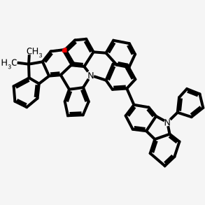 CC1(C)c2ccccc2-c2c(-c3ccccc3N(c3cccc(-c4ccc5c6ccccc6n(-c6ccccc6)c5c4)c3)c3ccccc3-c3ccccc3)cccc21